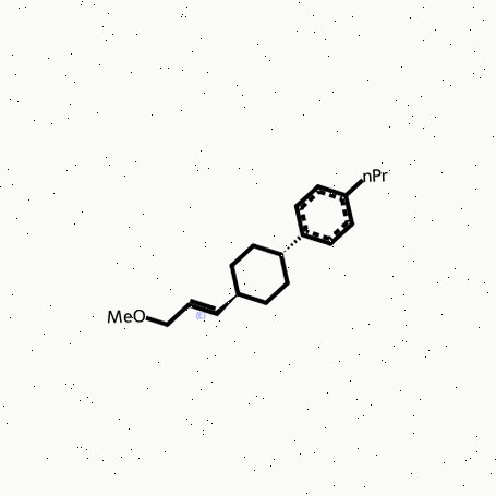 CCCc1ccc([C@H]2CC[C@H](/C=C/COC)CC2)cc1